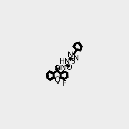 COc1ccccc1C(=O)c1cc(F)ccc1NC(=O)Nc1nc(-c2ccccc2)ns1